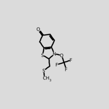 CSCC1SC2=C(C=CC(=O)C2)N1OC(F)(F)F